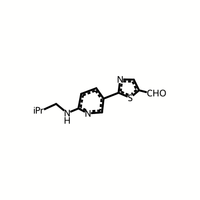 CC(C)CNc1ccc(-c2ncc(C=O)s2)cn1